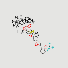 CC(C)(C)CC(C)(C(=O)OC(C)(C)CC(C)(S)Oc1ccc2cc(-c3ccccc3OC(F)(F)F)oc2c1)C(C)(C)C